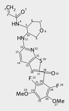 C=CC(=O)NC1CCOCC1Nc1ccc2cc(C(=O)c3c(F)c(OC)cc(OC)c3F)sc2n1